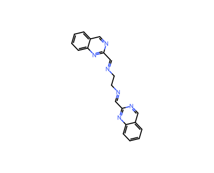 C(=NCCN=Cc1ncc2ccccc2n1)c1ncc2ccccc2n1